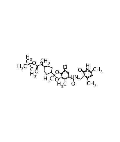 Cc1cc(C)c(CNC(=O)c2cc(Cl)c3c(c2C)OC(C)(C2CCC(N(C)C(=O)OC(C)(C)C)CC2)O3)c(=O)[nH]1